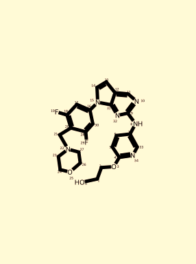 OCCOc1ccc(Nc2ncc3ccn(-c4cc(F)c(CN5CCOCC5)c(F)c4)c3n2)cn1